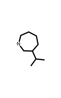 CC(C)C1CCCC[N]C1